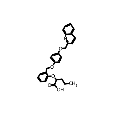 CCCC(Oc1ccccc1COc1ccc(OCc2ccc3ccccc3n2)cc1)C(=O)O